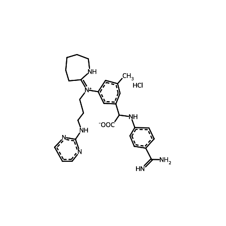 Cc1cc(C(Nc2ccc(C(=N)N)cc2)C(=O)[O-])cc([N+](CCCNc2ncccn2)=C2CCCCCN2)c1.Cl